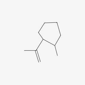 C=C(C)C1CCCCC1C